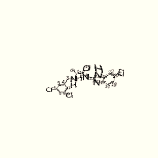 C[C@H](NCc1cc(Cl)cc(Cl)c1)C(=O)Nc1nc2ccc(Cl)cc2[nH]1